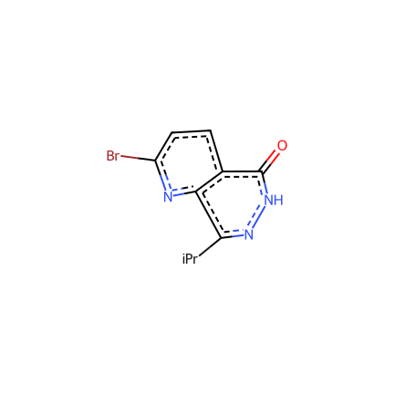 CC(C)c1n[nH]c(=O)c2ccc(Br)nc12